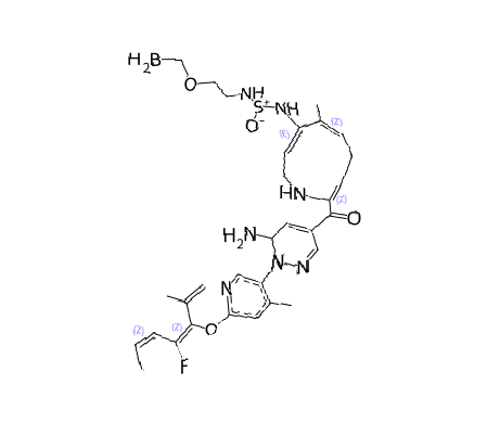 BCOCCN[S+]([O-])NC1=C/CN/C(C(=O)C2=CC(N)N(c3cnc(O/C(C(=C)C)=C(F)/C=C\C)cc3C)N=C2)=C\C/C=C\1C